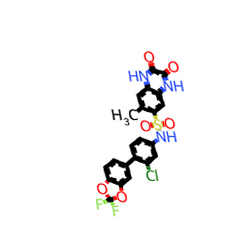 Cc1cc2[nH]c(=O)c(=O)[nH]c2cc1S(=O)(=O)Nc1ccc(-c2ccc3c(c2)OC(F)(F)O3)c(Cl)c1